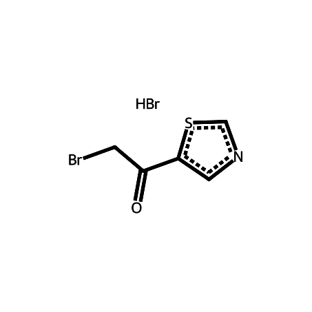 Br.O=C(CBr)c1cncs1